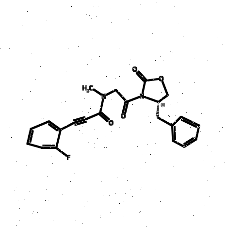 CN(CC(=O)N1C(=O)OC[C@@H]1Cc1ccccc1)C(=O)C#Cc1ccccc1F